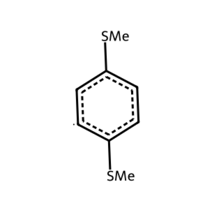 CSc1[c]cc(SC)cc1